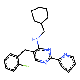 Fc1ccccc1Cc1cnc(-c2ccccn2)nc1NCC1CCCCC1